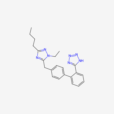 CCCCc1nc(Cc2ccc(-c3ccccc3-c3nnn[nH]3)cc2)n(CC)n1